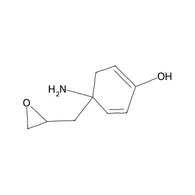 NC1(CC2CO2)C=CC(O)=CC1